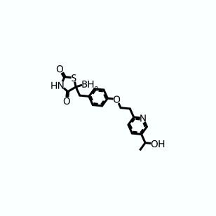 BC1(Cc2ccc(OCCc3ccc(C(C)O)cn3)cc2)SC(=O)NC1=O